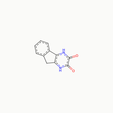 O=c1[nH]c2c([nH]c1=O)-c1ccccc1C2